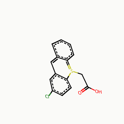 O=C(O)CS1=c2ccccc2=Cc2cc(Cl)ccc21